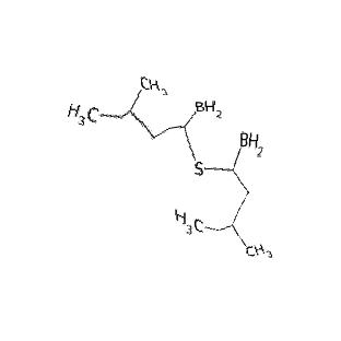 BC(CC(C)C)SC(B)CC(C)C